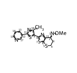 CON=C1CCSc2sc(-c3sc(-c4cccnc4)nc3C)nc21